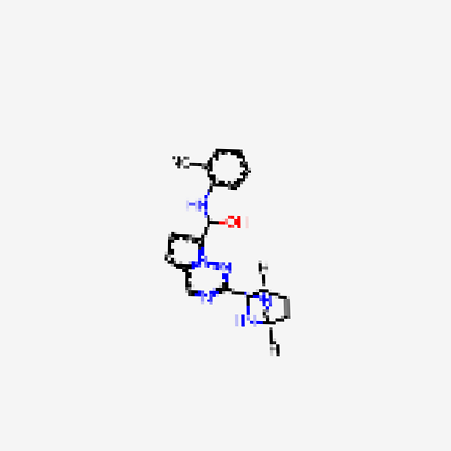 N#Cc1ccccc1NC(O)c1ccc2cnc(N3C[C@@H]4CC[C@H]3CN4)nn12